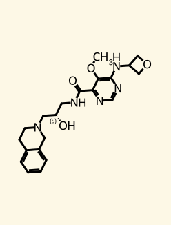 COc1c(NC2COC2)ncnc1C(=O)NC[C@H](O)CN1CCc2ccccc2C1